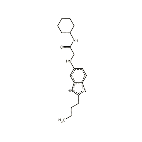 CCCCc1nc2ccc(NCC(=O)NC3CCCCC3)cc2[nH]1